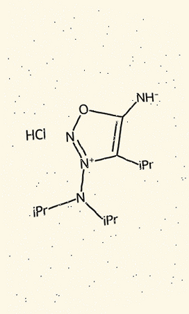 CC(C)c1c([NH-])on[n+]1N(C(C)C)C(C)C.Cl